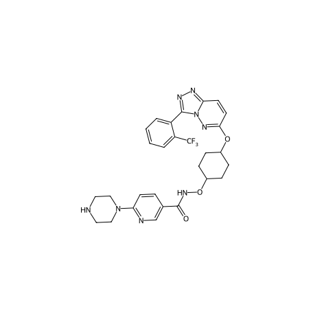 O=C(NOC1CCC(Oc2ccc3nnc(-c4ccccc4C(F)(F)F)n3n2)CC1)c1ccc(N2CCNCC2)nc1